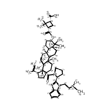 C=C(C)[C@@H]1CC[C@]2(C(=O)N3CCC[C@H]3c3nc4ccccc4n3CCN(C)C)CC[C@]3(C)[C@H](CC[C@@H]4[C@@]5(C)CC[C@H](OC(=O)[C@H]6C[C@@H](C(=O)O)C6(C)C)C(C)(C)[C@@H]5CC[C@]43C)[C@@H]12